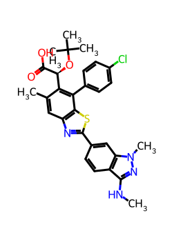 CNc1nn(C)c2cc(-c3nc4cc(C)c([C@H](OC(C)(C)C)C(=O)O)c(-c5ccc(Cl)cc5)c4s3)ccc12